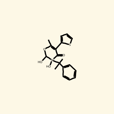 CC1=C(c2cccs2)C(=O)[N+](O)(C(C)(C)c2ccccc2)C(O)O1